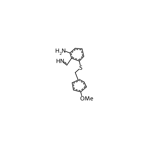 COc1ccc(CSc2cccc(N)c2C=N)cc1